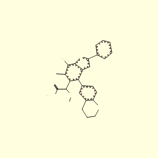 COC(=O)C(OC(C)(C)C)c1c(C)c([N+](=O)[O-])c2[nH]c(-c3ccccc3)cc2c1-c1ccc2c(c1)CCCO2